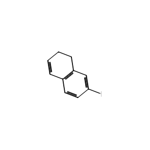 Ic1ccc2c(c1)CCC=C2